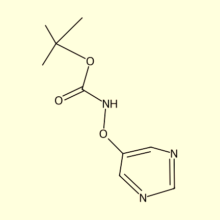 CC(C)(C)OC(=O)NOc1cncnc1